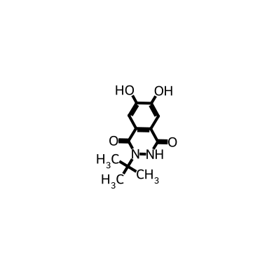 CC(C)(C)n1[nH]c(=O)c2cc(O)c(O)cc2c1=O